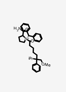 COCC(CCCCC(=O)[N@@+]1(C(c2ccccc2)c2ccccc2)CCCC1C(N)=O)(c1ccccc1)C(C)C